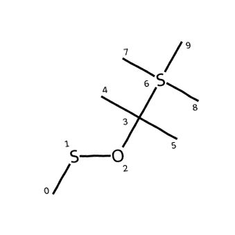 CSOC(C)(C)S(C)(C)C